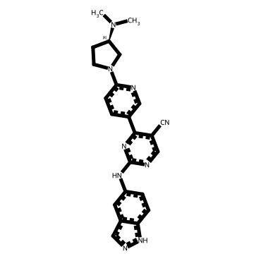 CN(C)[C@@H]1CCN(c2ccc(-c3nc(Nc4ccc5[nH]ncc5c4)ncc3C#N)cn2)C1